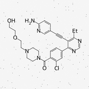 CCc1ncnc(-c2ccc(C(=O)N3CCN(CCOCCO)CC3)c(Cl)c2)c1C#Cc1ccc(N)nc1